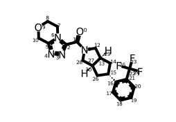 O=C(c1nnc2n1CCOC2)N1C[C@H]2C[C@H](c3ccccc3C(F)(F)F)C[C@H]2C1